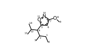 CCC(C)C(c1cc(OC)no1)C(C)C